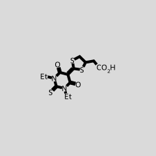 CCN1C(=O)C(=C2SCC(CC(=O)O)S2)C(=O)N(CC)C1=S